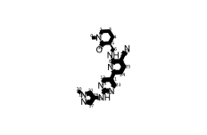 CN1CCC[C@@H](CNc2nc(-c3cnc(Nc4cnn(C)c4)nc3)ccc2C#N)C1=O